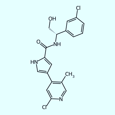 Cc1cnc(Cl)cc1-c1c[nH]c(C(=O)N[C@H](CO)c2cccc(Cl)c2)c1